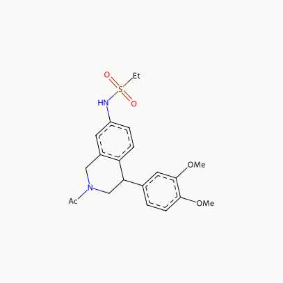 CCS(=O)(=O)Nc1ccc2c(c1)CN(C(C)=O)CC2c1ccc(OC)c(OC)c1